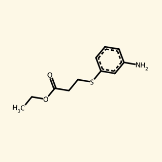 CCOC(=O)CCSc1cccc(N)c1